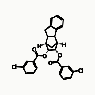 O=C(O[C@@H]1[C@H](OC(=O)c2cccc(Cl)c2)[C@@H]2C[C@H]1C1c3ccccc3CC12)c1cccc(Cl)c1